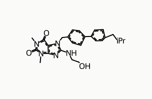 CC(C)Cc1ccc(-c2ccc(Cn3c(NCCO)nc4c3c(=O)n(C)c(=O)n4C)cc2)cc1